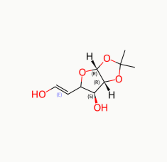 CC1(C)O[C@H]2OC(/C=C/O)[C@H](O)[C@H]2O1